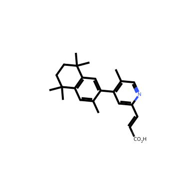 Cc1cnc(C=CC(=O)O)cc1-c1cc2c(cc1C)C(C)(C)CCC2(C)C